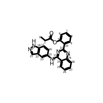 CCC(=O)Oc1ccccc1-c1nc(Nc2ccc3[nH]ncc3c2)c2ccccc2n1